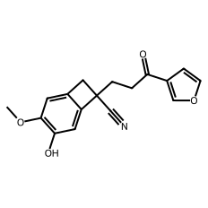 COc1cc2c(cc1O)C(C#N)(CCC(=O)c1ccoc1)C2